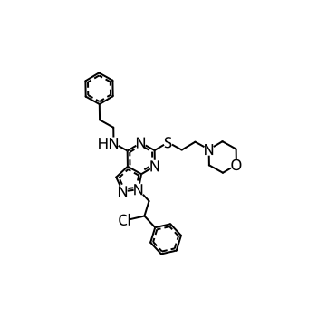 ClC(Cn1ncc2c(NCCc3ccccc3)nc(SCCN3CCOCC3)nc21)c1ccccc1